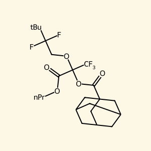 CCCOC(=O)C(OCC(F)(F)C(C)(C)C)(OC(=O)C12CC3CC(CC(C3)C1)C2)C(F)(F)F